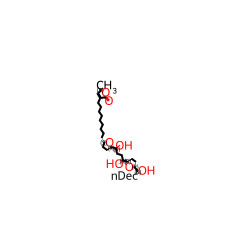 CCCCCCCCCC[C@H](O)[C@H]1CC[C@H]([C@H](O)CC[C@H](O)[C@H]2CC[C@H](CCCCCCCCCC3=C[C@H](C)OC3=O)O2)O1